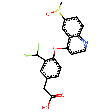 C[S+]([O-])c1ccc2nccc(Oc3ccc(CC(=O)O)cc3C(F)F)c2c1